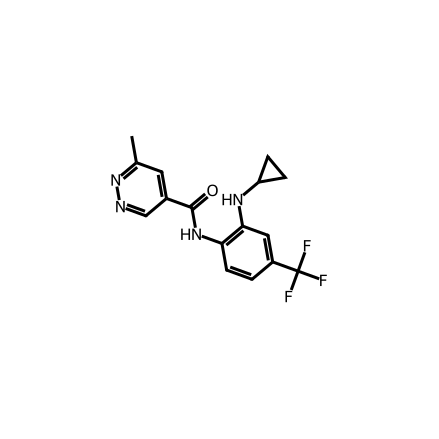 Cc1cc(C(=O)Nc2ccc(C(F)(F)F)cc2NC2CC2)cnn1